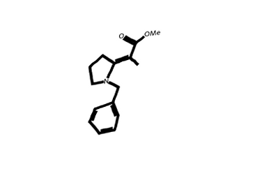 COC(=O)/C(C)=C1\CCCN1Cc1ccccc1